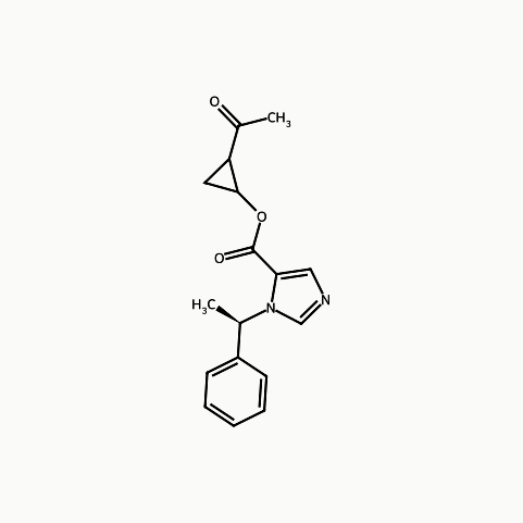 CC(=O)C1CC1OC(=O)c1cncn1[C@H](C)c1ccccc1